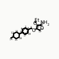 CCO[C@@H]1C(OCc2ccc(C3CCC(C)CC3)cc2)CO[C@H]1N